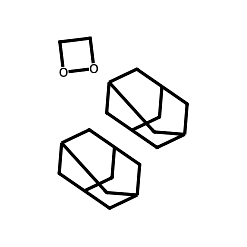 C1C2CC3CC1CC(C2)C3.C1C2CC3CC1CC(C2)C3.C1COO1